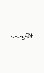 CCCCCSC1=C[N]C=C1